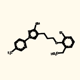 CCc1cccc(CC(=O)O)c1OCCCc1cn(-c2ccc(C(F)(F)F)cn2)nc1C(C)(C)C